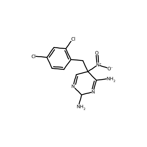 NC1=NC(N)N=CC1(Cc1ccc(Cl)cc1Cl)[N+](=O)[O-]